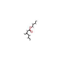 CCCCOC(=O)CC(C)CCC